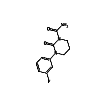 NC(=O)N1CCCN(c2cccc(F)c2)C1=O